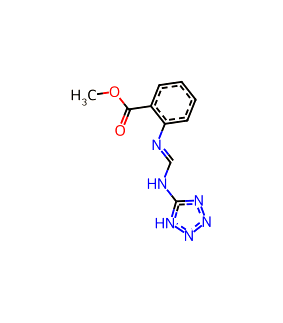 COC(=O)c1ccccc1N=CNc1nnn[nH]1